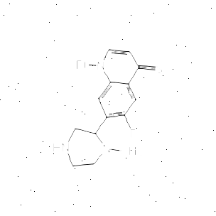 CCn1ccc(=S)c2cc(F)c(C3CNCCN3C)cc21